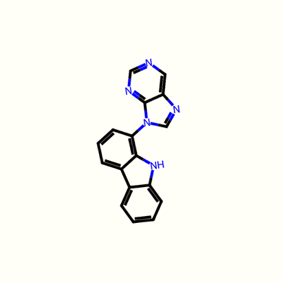 c1ccc2c(c1)[nH]c1c(-n3cnc4cncnc43)cccc12